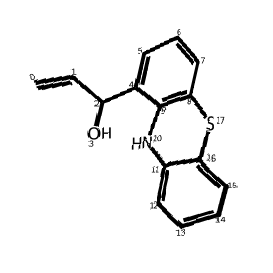 C=CC(O)c1cccc2c1Nc1ccccc1S2